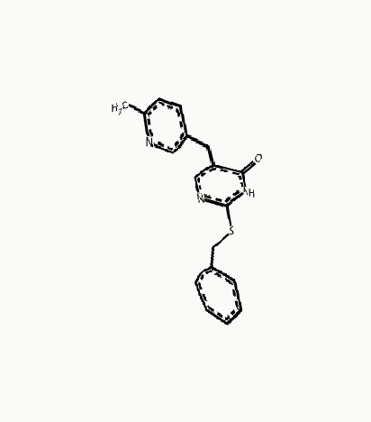 Cc1ccc(Cc2cnc(SCc3ccccc3)[nH]c2=O)cn1